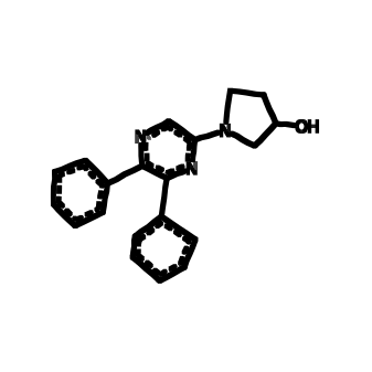 OC1CCN(c2cnc(-c3ccccc3)c(-c3ccccc3)n2)C1